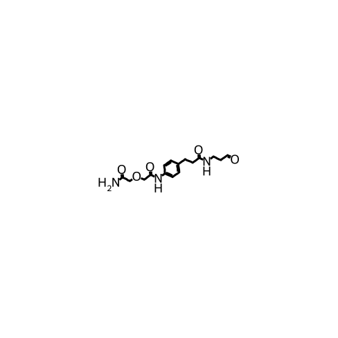 NC(=O)COCC(=O)Nc1ccc(CCC(=O)NCCC=O)cc1